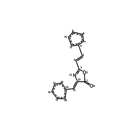 O=C1OC(C=Cc2ccccc2)=NC1=Cc1ccccc1